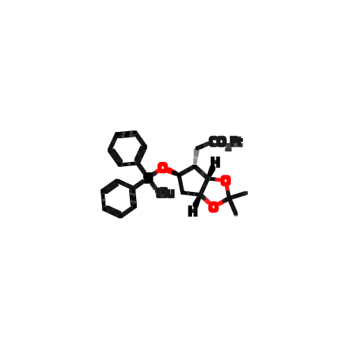 CCOC(=O)C[C@@H]1[C@@H]2OC(C)(C)O[C@@H]2C[C@H]1O[Si](c1ccccc1)(c1ccccc1)C(C)(C)C